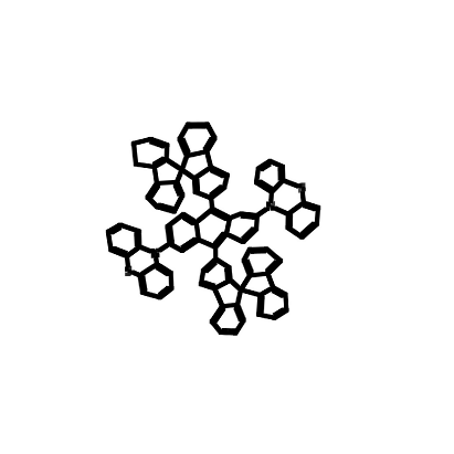 C1=CC2=C(CC1)c1ccccc1C21c2ccccc2-c2ccc(-c3c4ccc(N5c6ccccc6Sc6ccccc65)cc4c(-c4ccc5c(c4)C4(c6ccccc6-c6ccccc64)c4ccccc4-5)c4ccc(N5c6ccccc6Sc6ccccc65)cc34)cc21